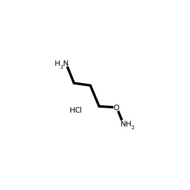 Cl.NCCCON